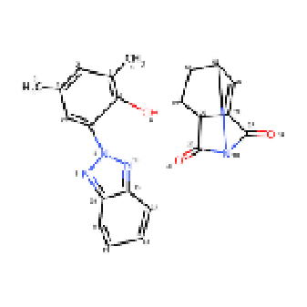 Cc1cc(C)c(O)c(-n2nc3ccccc3n2)c1.O=C1C2=CC3CCC2C(=O)N13